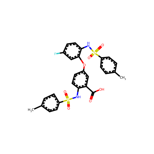 Cc1ccc(S(=O)(=O)Nc2ccc(F)cc2Oc2ccc(NS(=O)(=O)c3ccc(C)cc3)c(C(=O)O)c2)cc1